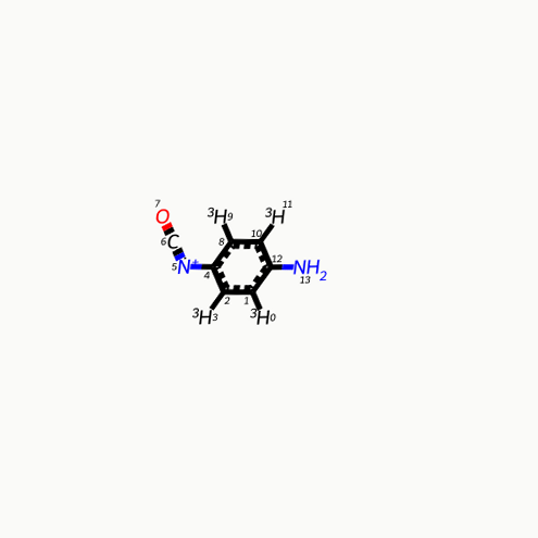 [3H]c1c([3H])c([N+]=C=O)c([3H])c([3H])c1N